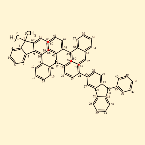 CC1(C)c2ccccc2-c2c(-c3ccccc3N(c3ccc(-c4ccc5c(c4)c4ccccc4n5-c4ccccc4)cc3)c3ccccc3-c3cccc4ccccc34)cccc21